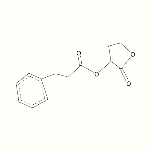 O=C(CCc1ccccc1)OC1CCOC1=O